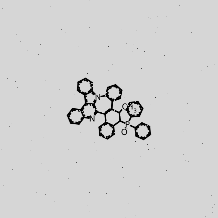 CC1C2=C(c3ccccc3C1P(=O)(c1ccccc1)c1ccccc1)c1nc3ccccc3c3c4ccccc4n(c13)-c1ccccc12